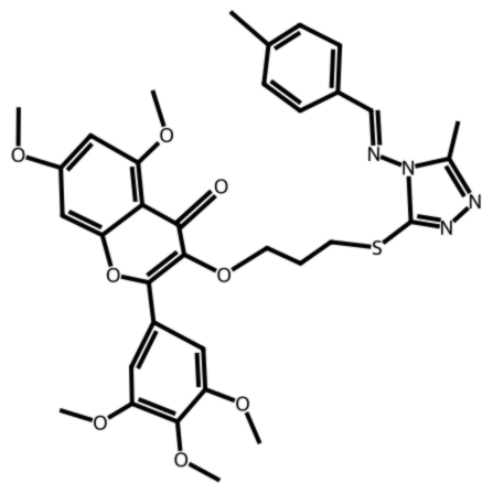 COc1cc(OC)c2c(=O)c(OCCCSc3nnc(C)n3N=Cc3ccc(C)cc3)c(-c3cc(OC)c(OC)c(OC)c3)oc2c1